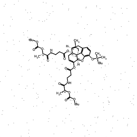 CC1CC[C@]23c4c5ccc(O[Si](C)(C)C(C)(C)C)c4O[C@H]2C(OC(=O)CCNC(=O)[C@H](C)OC(=O)OC(C)(C)C)=CC[C@@]3(OC(=O)CCNC(=O)[C@H](C)OC(=O)OC(C)(C)C)[C@H]1C5